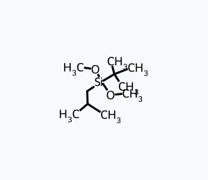 CO[Si](CC(C)C)(OC)C(C)(C)C